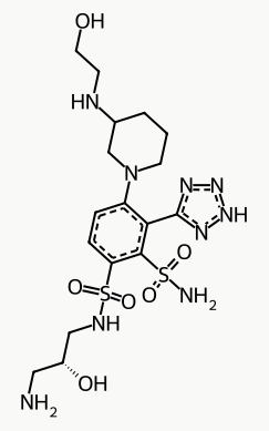 NC[C@@H](O)CNS(=O)(=O)c1ccc(N2CCCC(NCCO)C2)c(-c2nn[nH]n2)c1S(N)(=O)=O